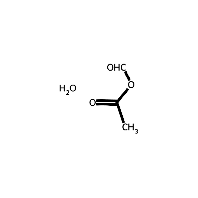 CC(=O)OC=O.O